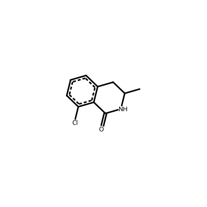 CC1Cc2cccc(Cl)c2C(=O)N1